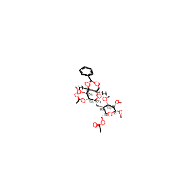 CO[C@H]1O[C@H](COC(C)=O)[C@@H](C[C@H]2O[C@@H]3COC(c4ccccc4)O[C@H]3[C@H](OC)[C@H]2OC(C)=O)[C@H](OC)[C@H]1OC